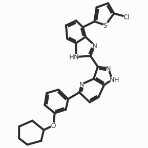 Clc1ccc(-c2cccc3[nH]c(-c4n[nH]c5ccc(-c6cccc(OC7CCCCC7)c6)nc45)nc23)s1